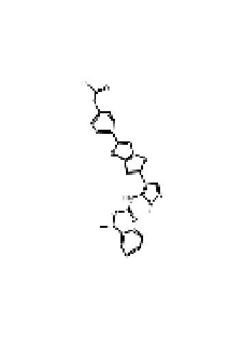 C[C@@H](OC(=O)Nc1c(-c2cc3sc(-c4ccc(CC(=O)O)cc4)cc3s2)cnn1C)c1ccccc1